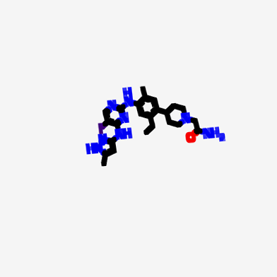 CCc1cc(Nc2ncc(I)c(Nc3cc(C)[nH]n3)n2)c(C)cc1C1CCN(CC(N)=O)CC1